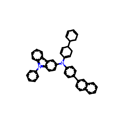 C1=CCC(C2C=CC(N(c3ccc(-c4ccc5ccccc5c4)cc3)c3ccc4c(c3)c3ccccc3n4-c3ccccc3)=CC2)C=C1